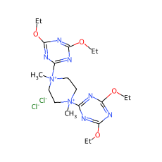 CCOc1nc(OCC)nc([N+]2(C)CC[N+](C)(c3nc(OCC)nc(OCC)n3)CC2)n1.[Cl-].[Cl-]